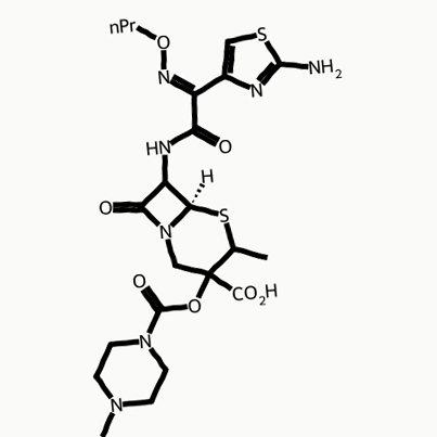 CCCON=C(C(=O)NC1C(=O)N2CC(OC(=O)N3CCN(C)CC3)(C(=O)O)C(C)S[C@H]12)c1csc(N)n1